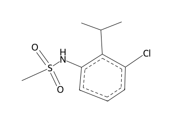 CC(C)c1c(Cl)cccc1NS(C)(=O)=O